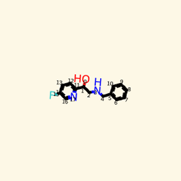 OC(CNCc1ccccc1)c1ccc(F)cn1